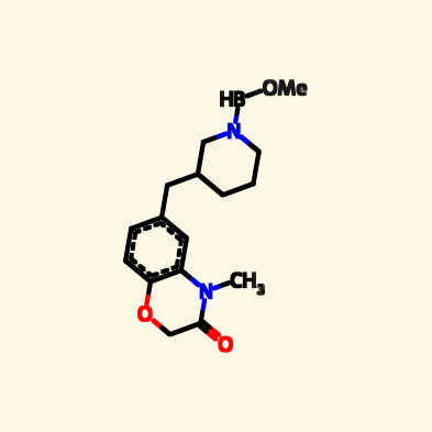 COBN1CCCC(Cc2ccc3c(c2)N(C)C(=O)CO3)C1